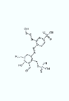 Cc1cc(/N=N/c2ccc(S(=O)(=O)O)cc2SOOO)c(COP(=O)(O)O)c(C=O)c1O